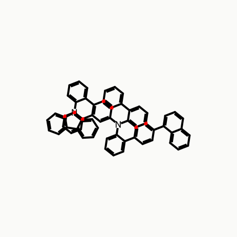 c1ccc(-c2cc(N(c3ccccc3-c3ccccc3)c3ccccc3-c3ccc(-c4cccc5ccccc45)cc3)ccc2-c2ccccc2-n2c3ccccc3c3ccccc32)cc1